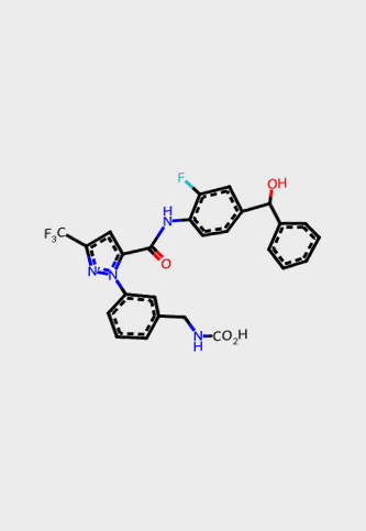 O=C(O)NCc1cccc(-n2nc(C(F)(F)F)cc2C(=O)Nc2ccc(C(O)c3ccccc3)cc2F)c1